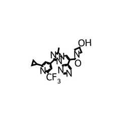 Cc1nc(-c2cc(C3CC3)nc(C(F)(F)F)c2)nn1/C=C(/C(=O)N1CC(O)C1)c1cncnc1